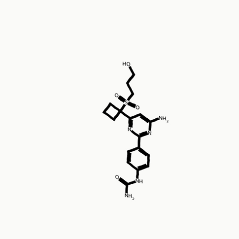 NC(=O)Nc1ccc(-c2nc(N)cc(C3(S(=O)(=O)CCCO)CCC3)n2)cc1